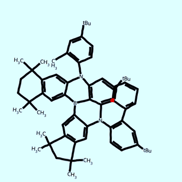 Cc1cc(C(C)(C)C)ccc1N1c2cc3c(cc2B2c4cc5c(cc4N(c4ccc(C(C)(C)C)cc4-c4ccccc4)c4cc(C(C)(C)C)cc1c42)C(C)(C)CC5(C)C)C(C)(C)CCC3(C)C